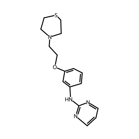 c1cnc(Nc2cccc(OCCN3CCSCC3)c2)nc1